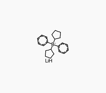 [LiH].c1ccc([B-](c2ccccc2)(C2CCCC2)C2CCCC2)cc1